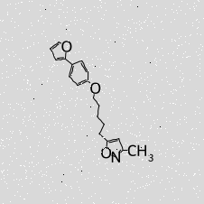 Cc1cc(CCCCCOc2ccc(-c3ccco3)cc2)on1